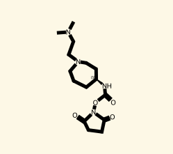 CN(C)CCN1CCC[C@H](NC(=O)ON2C(=O)CCC2=O)CC1